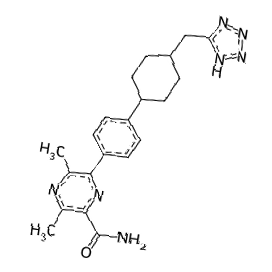 Cc1nc(C)c(-c2ccc(C3CCC(Cc4nnn[nH]4)CC3)cc2)nc1C(N)=O